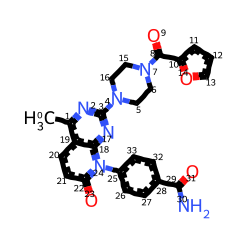 Cc1nc(N2CCN(C(=O)c3ccco3)CC2)nc2c1ccc(=O)n2-c1ccc(C(N)=O)cc1